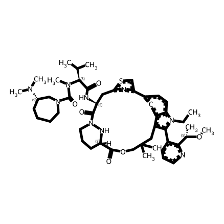 CCn1c(-c2cccnc2[C@H](C)OC)c2c3cc(ccc31)-c1csc(n1)C[C@H](NC(=O)[C@H](C(C)C)N(C)C(=O)N1CCCC[C@H](N(C)C)C1)C(=O)N1CCC[C@H](N1)C(=O)OCC(C)(C)C2